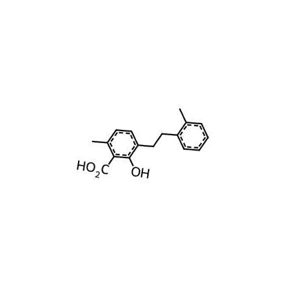 Cc1ccccc1CCc1ccc(C)c(C(=O)O)c1O